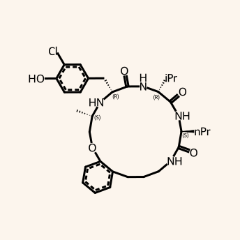 CCC[C@@H]1NC(=O)[C@@H](C(C)C)NC(=O)[C@@H](Cc2ccc(O)c(Cl)c2)N[C@@H](C)COc2ccccc2CCCNC1=O